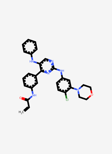 C=CC(=O)Nc1cccc(-c2nc(Nc3ccc(Cl)c(N4CCOCC4)c3)ncc2Nc2ccccc2)c1